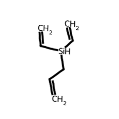 C=CC[SiH](C=C)C=C